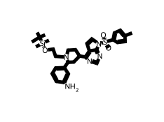 Cc1ccc(S(=O)(=O)n2ccc3c(C4CCN(CCO[Si](C)(C)C(C)(C)C)C(c5cccc(N)c5)C4)ncnc32)cc1